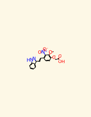 COc1c(OCC(=O)O)ccc(C=Cc2n[nH]c3ccccc23)c1[N+](=O)[O-]